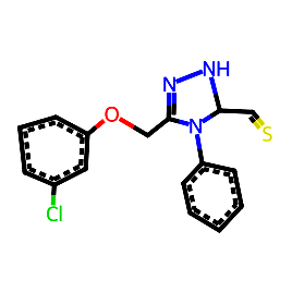 S=CC1NN=C(COc2cccc(Cl)c2)N1c1ccccc1